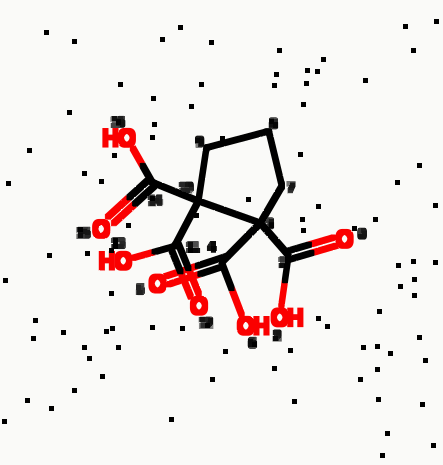 O=C(O)C1(C(=O)O)CCCC1(C(=O)O)C(=O)O